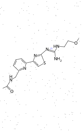 COCCN/C(N)=N/c1nc(-c2cccc(CNC(C)=O)n2)cs1